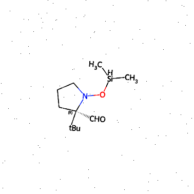 C[SiH](C)ON1CCC[C@]1(C=O)C(C)(C)C